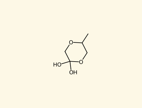 CC1COC(O)(O)CO1